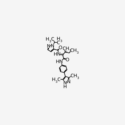 CC[C@H](C)[C@H](NC(=O)c1ccnn1C(C)C)C(=O)Nc1ccc(-c2c(C)n[nH]c2C)cc1